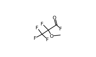 COC(F)(C(=O)F)C(F)(F)F